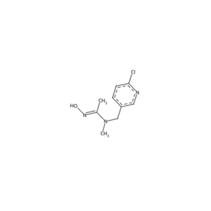 C/C(=N\O)N(C)Cc1ccc(Cl)nc1